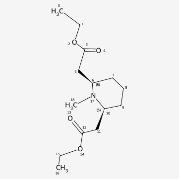 CCOC(=O)C[C@H]1CCC[C@@H](CC(=O)OCC)N1C